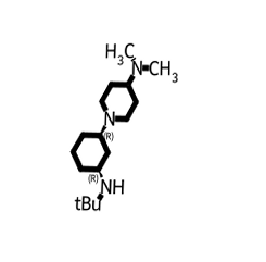 CN(C)C1CCN([C@@H]2CCC[C@@H](NC(C)(C)C)C2)CC1